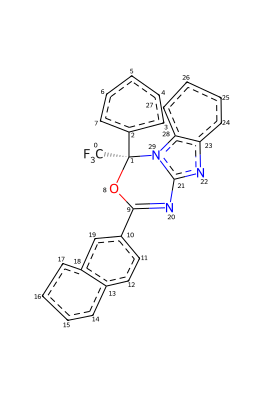 FC(F)(F)[C@@]1(c2ccccc2)OC(c2ccc3ccccc3c2)=Nc2nc3ccccc3n21